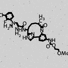 COCCOC(=O)Nc1ccc2c(c1)NC(=O)C(C)CCCC(NC(=O)/C(N)=C/N(N)c1cccc(Cl)c1F)c1nc-2c[nH]1